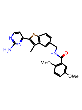 COc1ccc(OC)c(C(=O)NCc2ccc3sc(-c4ccnc(N)n4)c(C)c3c2)c1